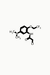 CN(C)c1ccc(OCC(F)(F)F)c(NC(=O)CCl)c1